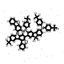 CC(C)(C)c1ccc(N2B3c4cc5oc6ccccc6c5cc4-n4c5ccc(C(C)(C)C)cc5c5c6c(oc7ccccc76)c(c3c54)-c3cc4c(cc32)-c2cc(N(c3ccc(C(C)(C)C)cc3)c3ccc(C(C)(C)C)cc3)ccc2C4(C)C)cc1